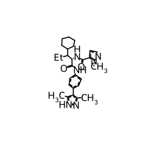 CCC(C1CCCCC1)[C@H](NC(=O)c1ccnn1C)C(=O)Nc1ccc(-c2c(C)n[nH]c2C)cc1